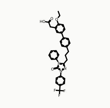 CCOc1ccc(-c2ccc(CCCc3nn(-c4ccc(C(F)(F)F)cc4)c(=O)n3-c3ccccc3)cc2)cc1CC(=O)O